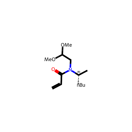 C=CC(=O)N(CC(OC)OC)[C@H](C)CCCC